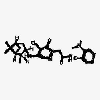 C[C@@H]1[C@H]2C[C@@H](C[C@H]1Nc1cnn(CC(=O)NCc3ccccc3N(C)C)c(=O)c1Cl)C2(C)C